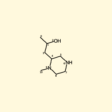 CC(O)CC1CNCCN1C